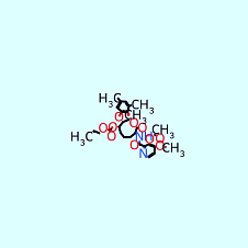 CCCOC(=O)O[C@H]1CCC[C@H](NC(=O)c2nccc(OC)c2OC(C)=O)C(=O)O[C@@H](C)[C@@H]1Oc1cc(C)cc(C)c1